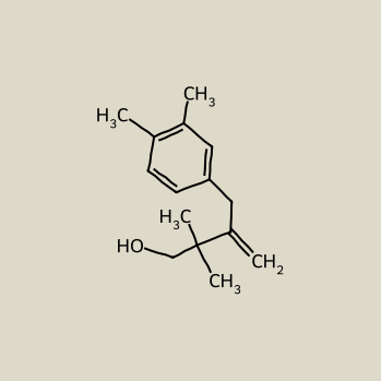 C=C(Cc1ccc(C)c(C)c1)C(C)(C)CO